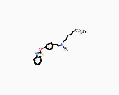 CCOC(=O)CCCCCN(CCc1ccc(Oc2nc3ccccc3s2)cc1)C(C)CC